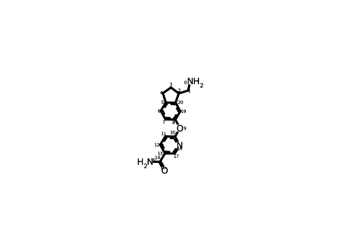 NCC1CCc2ccc(Oc3ccc(C(N)=O)cn3)cc21